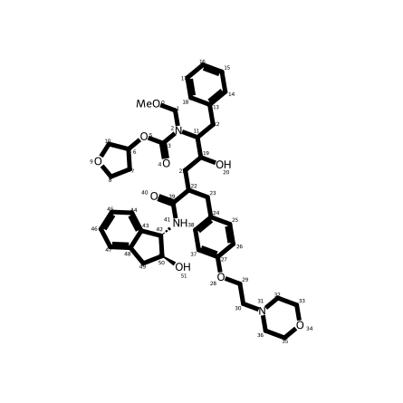 COCN(C(=O)OC1CCOC1)C(Cc1ccccc1)C(O)CC(Cc1ccc(OCCN2CCOCC2)cc1)C(=O)N[C@H]1c2ccccc2C[C@@H]1O